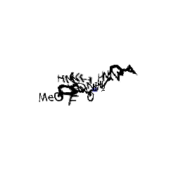 COc1ccc(C(=O)NN)c(CNC(=O)/C(N)=C/NCc2cn3cc(C4CC4)ccc3n2)c1F